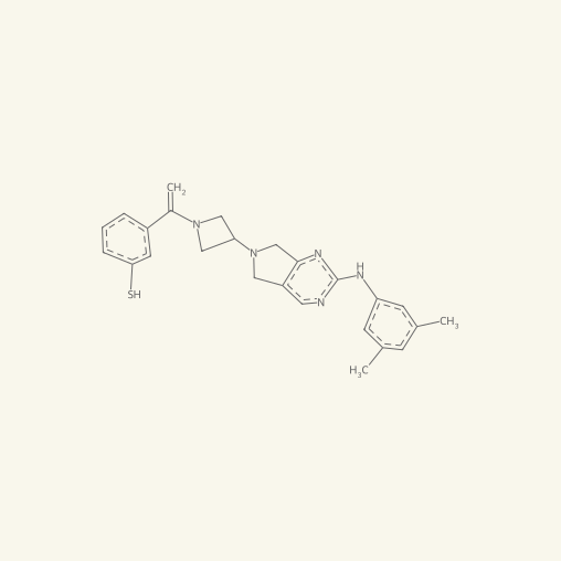 C=C(c1cccc(S)c1)N1CC(N2Cc3cnc(Nc4cc(C)cc(C)c4)nc3C2)C1